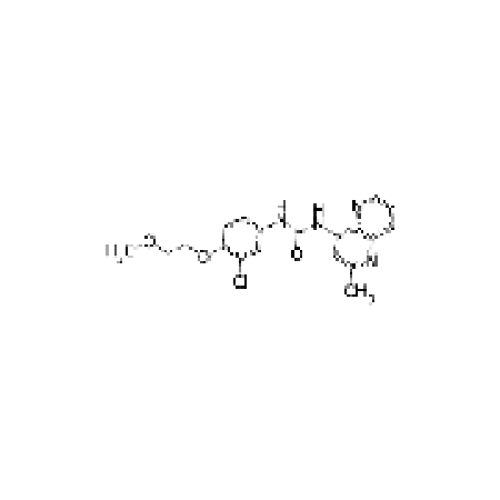 COCCOc1ccc(NC(=O)Nc2cc(C)nc3cccnc23)cc1Cl